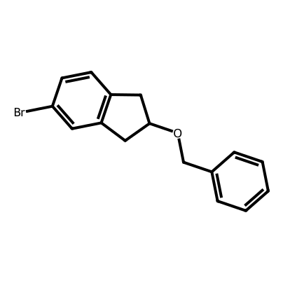 Brc1ccc2c(c1)CC(OCc1ccccc1)C2